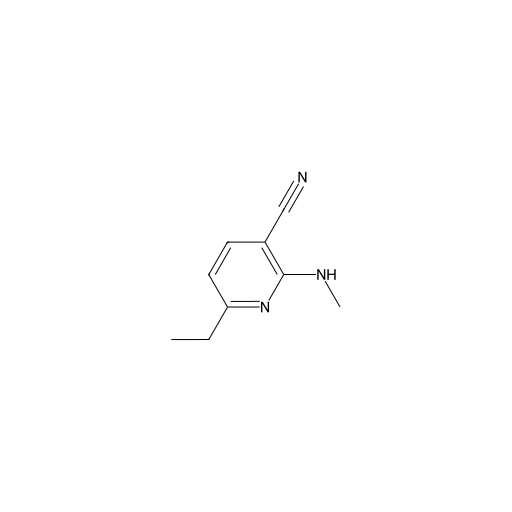 CCc1ccc(C#N)c(NC)n1